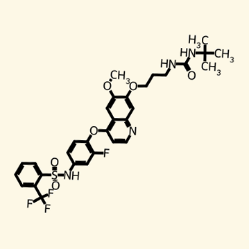 COc1cc2c(Oc3ccc(NS(=O)(=O)c4ccccc4C(F)(F)F)cc3F)ccnc2cc1OCCCNC(=O)NC(C)(C)C